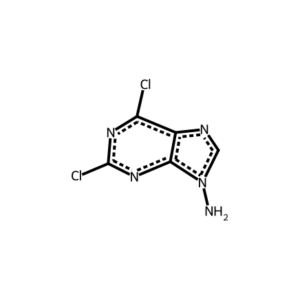 Nn1cnc2c(Cl)nc(Cl)nc21